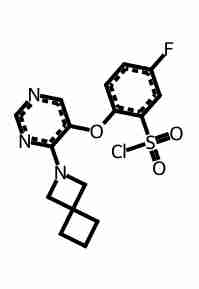 O=S(=O)(Cl)c1cc(F)ccc1Oc1cncnc1N1CC2(CCC2)C1